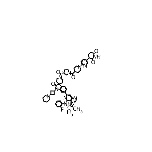 CC(C)n1cnc2cc(-c3ccc4c(c3)N([C@H]3C[C@@H](N5CCCCC5)C3)C(=O)C43CCN(C(=O)[C@@H]4CCN(C(=O)C5CCN(c6ccc(C7CCC(=O)NC7=O)cn6)CC5)C4)CC3)nc(Nc3ccccc3F)c21